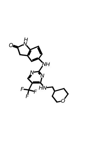 O=C1Cc2cc(Nc3ncc(C(F)(F)F)c(NCC4CCOCC4)n3)ccc2N1